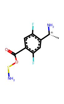 C[C@@H](N)c1cc(F)c(C(=O)OSN)cc1F